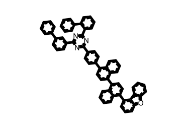 c1ccc(-c2cccc(-c3nc(-c4ccc(-c5ccc(-c6ccc(-c7cccc8oc9ccccc9c78)c7ccccc67)c6ccccc56)cc4)nc(-c4ccccc4-c4ccccc4)n3)c2)cc1